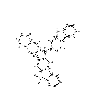 CC1(C)c2ccccc2-c2cc3c(cc21)c1cc2ccccc2cc1n3-c1ccc2c(c1)sc1ccccc12